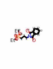 CCOP(=O)(CCCN1C(=O)c2ccccc2C1=O)OCC